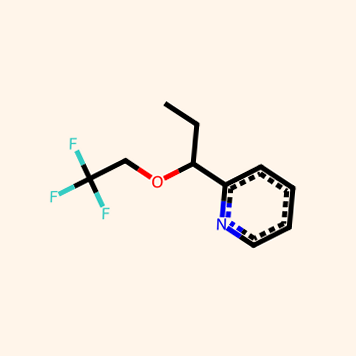 CCC(OCC(F)(F)F)c1ccccn1